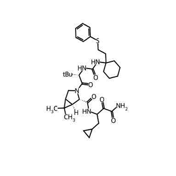 CC(C)(C)[C@H](NC(=O)NC1(CCSc2ccccc2)CCCCC1)C(=O)N1CC2[C@@H]([C@H]1C(=O)NC(CC1CC1)C(=O)C(N)=O)C2(C)C